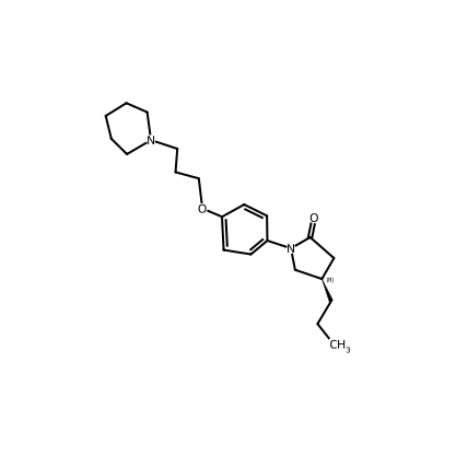 CCC[C@@H]1CC(=O)N(c2ccc(OCCCN3CCCCC3)cc2)C1